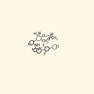 C[C@H]1C[C@@H](c2ccncc2Nc2ncc3ccc(-c4c(F)cc(C5CCOCC5)cc4F)nn23)C[C@@H](N)[C@H]1OCCS(C)(=O)=O